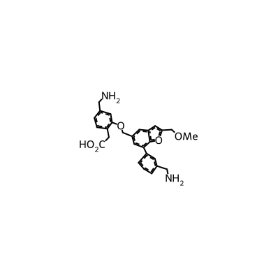 COCc1cc2cc(COc3cc(CN)ccc3CC(=O)O)cc(-c3cccc(CN)c3)c2o1